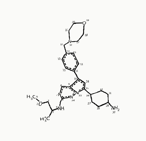 COCC(C)Nc1ncc2c(-c3ccc(CN4CCOCC4)cc3)cc(C3CCC(N)CC3)n2n1